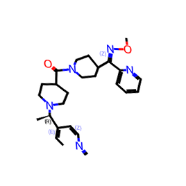 C=N/C=C\C(=C/C)[C@@H](C)N1CCC(C(=O)N2CCC(/C(=N/OC)c3ccccn3)CC2)CC1